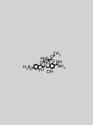 CCOC(=O)[C@H](C)Oc1cc(C(=N)N)ccc1CNC(=O)C(OCC)c1ccc(OC)cc1F.Cl